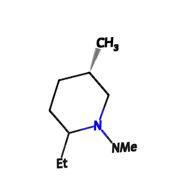 CCC1CC[C@H](C)CN1NC